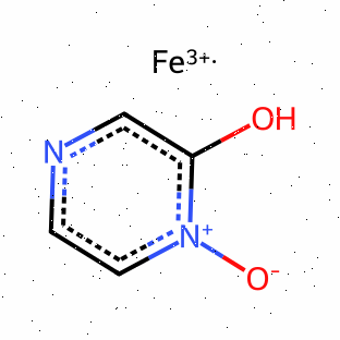 [Fe+3].[O-][n+]1ccncc1O